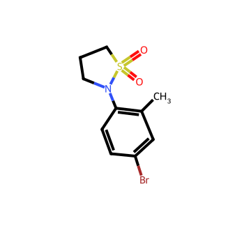 Cc1cc(Br)ccc1N1CCCS1(=O)=O